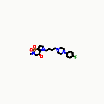 CN1CC(=O)c2c(ccn2CCCCN2CCN(c3ccc(F)cc3)CC2)S1(=O)=O